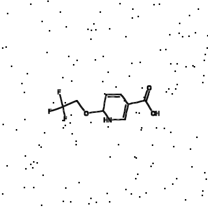 O=C(O)C1=CNC(OCC(F)(F)F)C=C1